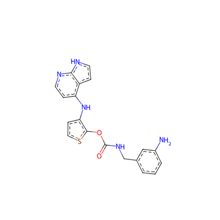 Nc1cccc(CNC(=O)Oc2sccc2Nc2ccnc3[nH]ccc23)c1